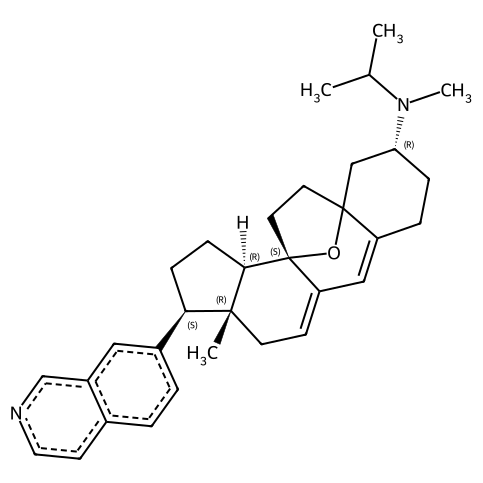 CC(C)N(C)[C@@H]1CCC2=CC3=CC[C@]4(C)[C@@H](c5ccc6ccncc6c5)CC[C@H]4[C@@]34CCC2(C1)O4